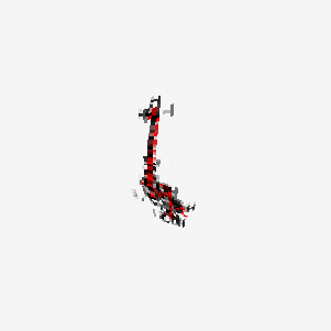 CCCCC(NC(=O)C(CNC(=O)CN(CC(=O)O)CC(=O)O)NC(=O)C(CC1=CNCN1)NC(=O)C(CCC(N)=O)NC(=O)C(CO)NC(=O)CNC(=O)COCCOCCNC(=O)CCCCCCCCCCCCCCCC1=NNNN1)C(=O)NC